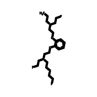 CCCN(CCF)CCOc1ccccc1OCCN(CCF)CCSCCF